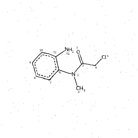 CN(C(=O)CCl)c1ccccc1N